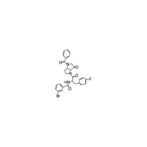 O=C(NC(Cc1ccc(F)cc1)C(=O)N1CCC2C1C(=O)CN2C(=O)c1ccccc1)c1cccc(Br)c1